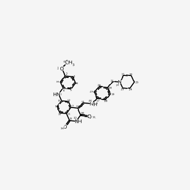 COc1cccc(Nc2ccc3c(c2)/C(=C/Nc2ccc(CN4CCCCC4)cc2)C(=O)NC3=O)c1